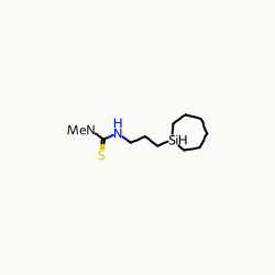 CNC(=S)NCCC[SiH]1CCCCCC1